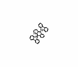 c1ccc2c(-n3c4ccccc4c4ccccc43)c3ncccc3c(-n3c4ccccc4c4ccccc43)c2c1